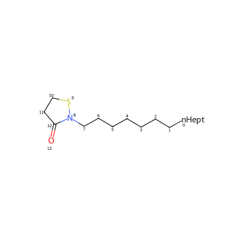 CCCCCCCCCCCCCCN1SCCC1=O